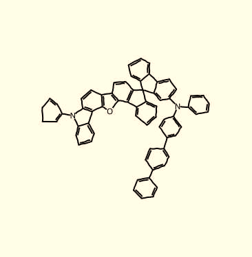 C1=CC(n2c3ccccc3c3c4oc5c6c(ccc5c4ccc32)C2(c3ccccc3-c3ccc(N(c4ccccc4)c4ccc(-c5ccc(-c7ccccc7)cc5)cc4)cc32)c2ccccc2-6)=CCC1